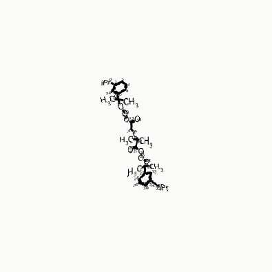 CC(C)c1cccc(C(C)(C)OOOC(=O)CCC(C)(C)C(=O)OOOC(C)(C)c2cccc(C(C)C)c2)c1